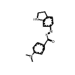 CN(C)c1ccc(C(=O)N=Nc2ccc3c(c2)NCC3)cc1